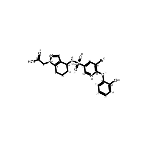 O=C(O)Cn1ncc2c1CCCC2NS(=O)(=O)c1cnc(Oc2ccccc2Cl)c(Br)c1